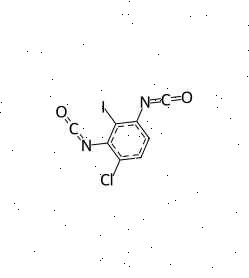 O=C=Nc1ccc(Cl)c(N=C=O)c1I